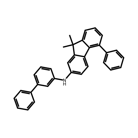 CC1(C)c2cc(Nc3cccc(-c4ccccc4)c3)ccc2-c2c(-c3ccccc3)cccc21